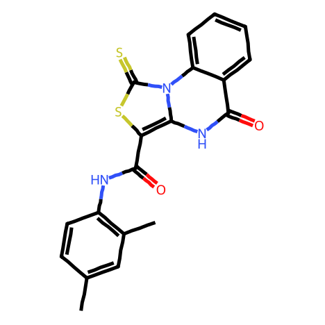 Cc1ccc(NC(=O)c2sc(=S)n3c2[nH]c(=O)c2ccccc23)c(C)c1